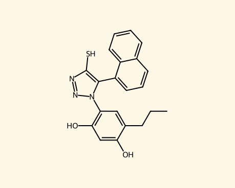 CCCc1cc(-n2nnc(S)c2-c2cccc3ccccc23)c(O)cc1O